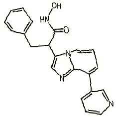 O=C(NO)C(Cc1ccccc1)c1cnc2c(-c3cccnc3)cccn12